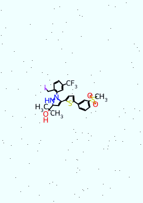 CC(C)(O)C1C=C(c2ccc(-c3cccc(S(C)(=O)=O)c3)s2)N(c2cc(C(F)(F)F)ccc2CI)N1